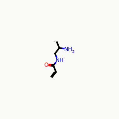 [CH2]C(N)CNC(=O)C=C